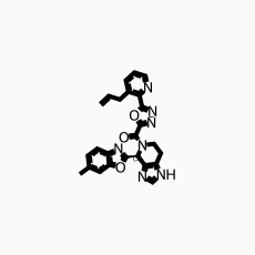 C=CCc1cccnc1-c1nnc(C(=O)N2CCc3[nH]cnc3[C@H]2c2nc3ccc(C)cc3o2)o1